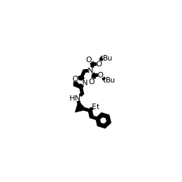 CC/C(=C\c1ccccc1)C1CC1NCc1coc(CN(C(=O)OC(C)(C)C)C(=O)OC(C)(C)C)n1